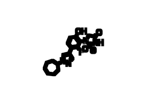 O=C1CN(c2c(O)ccc(-c3cnn(C4CCCCCC4)c3)c2F)S(=O)(=O)N1